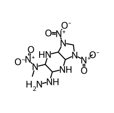 CN(C1NC2C(NC1NN)N([N+](=O)[O-])CN2[N+](=O)[O-])[N+](=O)[O-]